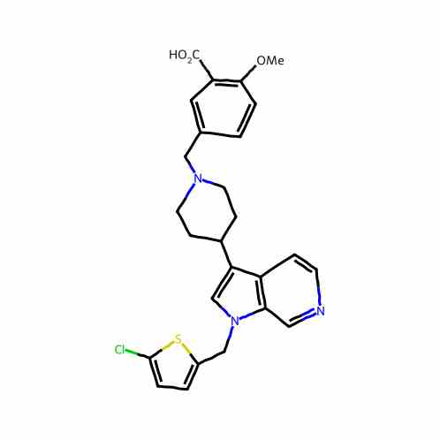 COc1ccc(CN2CCC(c3cn(Cc4ccc(Cl)s4)c4cnccc34)CC2)cc1C(=O)O